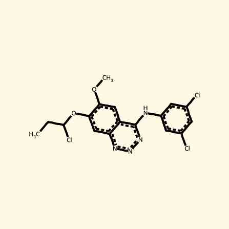 CCC(Cl)Oc1cc2nnnc(Nc3cc(Cl)cc(Cl)c3)c2cc1OC